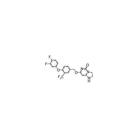 O=c1nc(OCc2ccc(Oc3ccc(F)c(F)c3)c(C(F)(F)F)c2)cc2n1CCN2